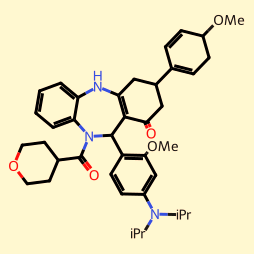 COc1cc(N(C(C)C)C(C)C)ccc1C1C2=C(CC(C3=CCC(OC)C=C3)CC2=O)Nc2ccccc2N1C(=O)C1CCOCC1